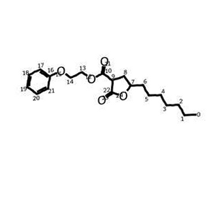 CCCCCCCC1CC(C(=O)OCCOc2ccccc2)C(=O)O1